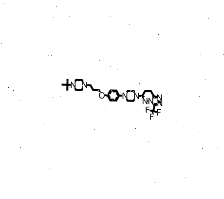 CC(C)(C)N1CCN(CCCOc2ccc(N3CCN(C4=Nn5c(nnc5C(F)(F)F)CC4)CC3)cc2)CC1